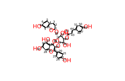 O=C(/C=C\c1ccc(O)cc1)OC[C@H]1O[C@@H](Oc2c(-c3ccc(O)cc3)oc3cc(O)cc(O)c3c2=O)[C@H](O)[C@@H](OC(=O)/C=C/c2ccc(O)cc2)[C@@H]1O